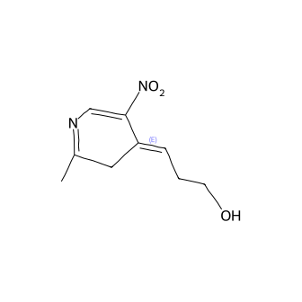 CC1=NC=C([N+](=O)[O-])/C(=C/CCO)C1